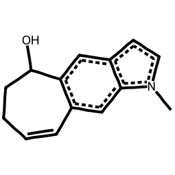 Cn1ccc2cc3c(cc21)C=CCCC3O